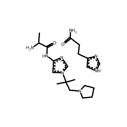 CC(N)C(=O)Nc1cn(C(C)(C)CN2CCCC2)cn1.NC(=O)CCc1c[nH]cn1